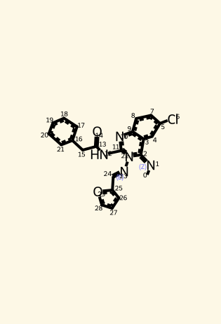 C/N=c1/c2cc(Cl)ccc2nc(NC(=O)Cc2ccccc2)n1/N=C/c1ccco1